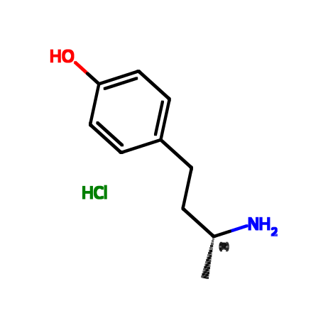 C[C@@H](N)CCc1ccc(O)cc1.Cl